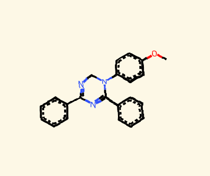 COc1ccc(N2CN=C(c3ccccc3)N=C2c2ccccc2)cc1